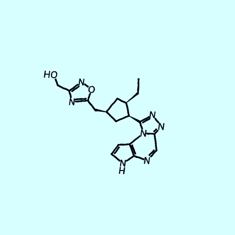 CC[C@@H]1C[C@H](Cc2nc(CO)no2)C[C@@H]1c1nnc2cnc3[nH]ccc3n12